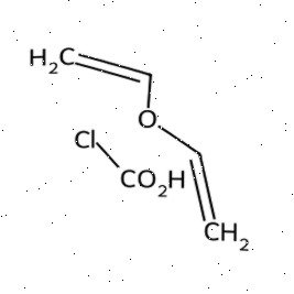 C=COC=C.O=C(O)Cl